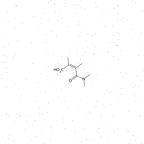 C/C(C(=O)O)=C(\C)C(=O)N(C)C